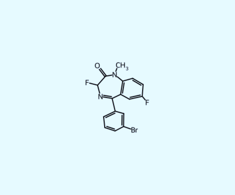 CN1C(=O)C(F)N=C(c2cccc(Br)c2)c2cc(F)ccc21